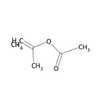 C.C=C(C)OC(C)=O